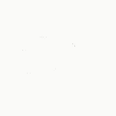 CCOC(=O)c1oc2c3ccccc3n(C)c2c1O